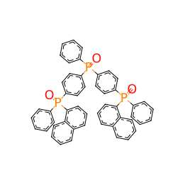 O=P(c1ccccc1)(c1ccc(P(=O)(c2ccccc2)c2cccc3ccccc23)cc1)c1ccc(P(=O)(c2ccccc2)c2cccc3ccccc23)cc1